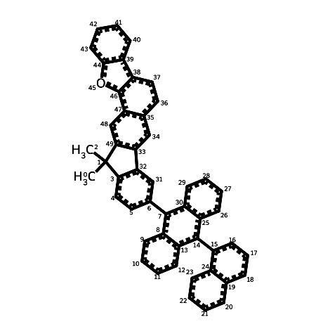 CC1(C)c2ccc(-c3c4ccccc4c(-c4cccc5ccccc45)c4ccccc34)cc2-c2cc3ccc4c5ccccc5oc4c3cc21